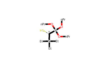 CCCO[Si](OCCC)(OCCC)[C@@H](S)[Si](CC)(CC)CC